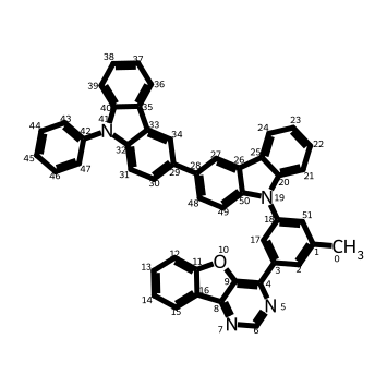 Cc1cc(-c2ncnc3c2oc2ccccc23)cc(-n2c3ccccc3c3cc(-c4ccc5c(c4)c4ccccc4n5-c4ccccc4)ccc32)c1